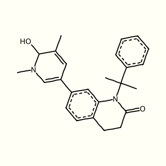 CC1=CC(c2ccc3c(c2)N(C(C)(C)c2ccccc2)C(=O)CC3)=CN(C)C1O